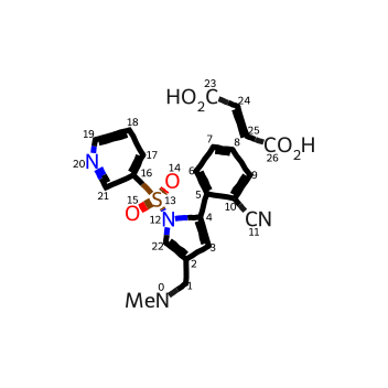 CNCc1cc(-c2ccccc2C#N)n(S(=O)(=O)c2cccnc2)c1.O=C(O)/C=C/C(=O)O